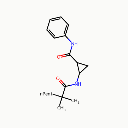 CCCCCC(C)(C)C(=O)NC1CC1C(=O)Nc1ccccc1